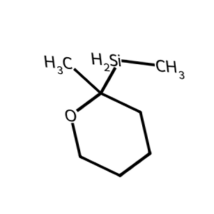 C[SiH2]C1(C)CCCCO1